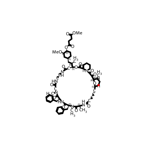 COC(=O)CCC(=O)O[C@@H]1CC[C@@H](C[C@@H](C)[C@@H]2CC(=O)NCCNC(=O)CN(C)C(=O)[C@H](Cc3ccccc3)NC(=O)[C@H](Cc3ccccc3)N(C)C(=O)[C@H](C)NC(=O)CSCC[C@@H]3CC[C@@H](C)[C@@](O)(O3)C(=O)C(=O)N3CCCC[C@H]3C(=O)O2)C[C@H]1OC